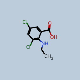 CCNc1c(Cl)cc(Cl)cc1C(=O)O